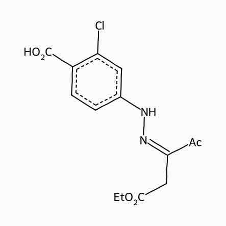 CCOC(=O)C/C(=N/Nc1ccc(C(=O)O)c(Cl)c1)C(C)=O